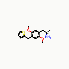 COc1cc(C[C@@H](C)N)c(OC)cc1Cc1cccs1